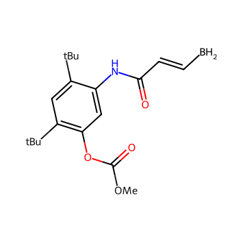 B/C=C/C(=O)Nc1cc(OC(=O)OC)c(C(C)(C)C)cc1C(C)(C)C